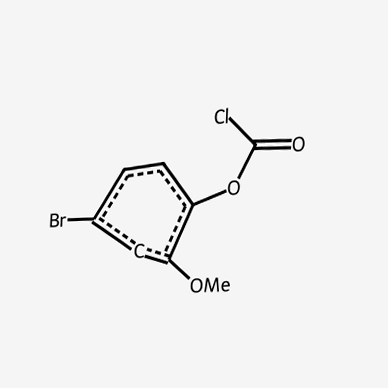 COc1cc(Br)ccc1OC(=O)Cl